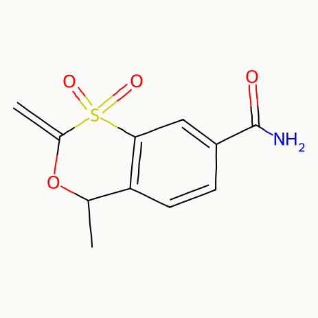 C=C1OC(C)c2ccc(C(N)=O)cc2S1(=O)=O